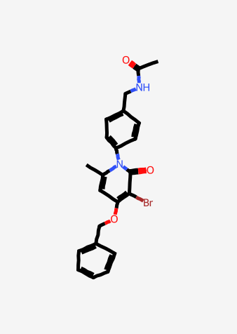 CC(=O)NCc1ccc(-n2c(C)cc(OCc3ccccc3)c(Br)c2=O)cc1